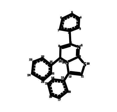 C1=C(c2ccccc2)N=C2SC=C(c3ccccc3)N2C1c1ccccc1